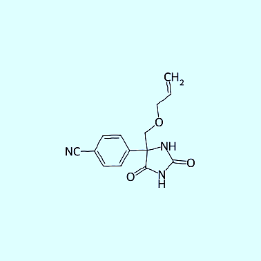 C=CCOCC1(c2ccc(C#N)cc2)NC(=O)NC1=O